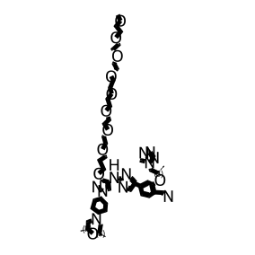 COCCOCCOCCOCCOCCOCCOCCOCCCOc1nn([C@H]2CC[C@H](N3C[C@@H](C)O[C@@H](C)C3)CC2)cc1Nc1ncc(-c2ccc(C#N)c(O[C@@H](C)Cn3cnnn3)c2)cn1